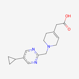 O=C(O)CC1=CCN(Cc2ncc(C3CC3)cn2)CC1